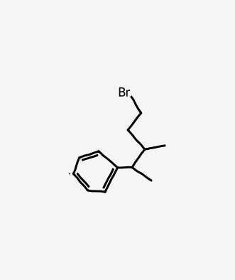 CC(CCBr)C(C)c1cc[c]cc1